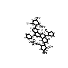 Cc1ccccc1-c1cc2c3cc(-c4c(C(C)C)cc(C(C)C)cc4C(C)C)ccc3c(-c3ccccc3OS(=O)(=O)C(F)(F)F)cc2c2cc(-c3c(C(C)C)cc(C(C)C)cc3C(C)C)ccc12